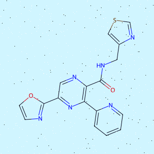 O=C(NCc1cscn1)c1ncc(-c2ncco2)nc1-c1ccccn1